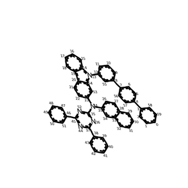 c1ccc(-c2ccc(-c3cccc(-n4c5ccccc5c5ccc(N(c6ccc7ccccc7c6)c6nc(-c7ccccc7)nc(-c7ccccc7)n6)cc54)c3)cc2)cc1